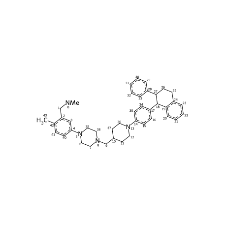 CNCc1cc(N2CCN(CC3CCN(c4ccc(C5c6ccccc6CCC5c5ccccc5)cc4)CC3)CC2)ccc1C